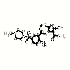 CCCc1nn(C)c(C(N)=O)c1NC(=O)c1cc(S(=O)(=O)N2CCN(C)CC2)ccc1OCC